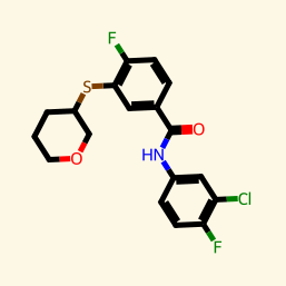 O=C(Nc1ccc(F)c(Cl)c1)c1ccc(F)c(SC2CCCOC2)c1